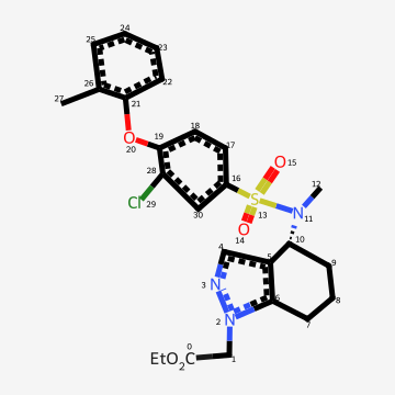 CCOC(=O)Cn1ncc2c1CCC[C@H]2N(C)S(=O)(=O)c1ccc(Oc2ccccc2C)c(Cl)c1